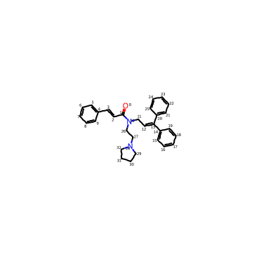 O=C(C=Cc1ccccc1)N(CC=C(c1ccccc1)c1ccccc1)CCN1CCCC1